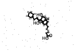 O=C(O)CSCCC1=C[C@@H]2C[C@@H](O)[C@H](C(O)=CCC3CCCCC3)[C@@H]2C1